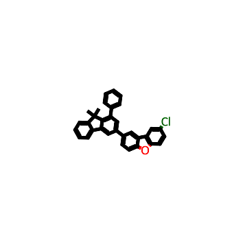 CC1(C)c2ccccc2-c2cc(-c3ccc4oc5ccc(Cl)cc5c4c3)cc(-c3ccccc3)c21